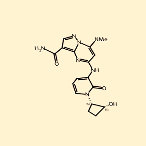 CNc1cc(Nc2cccn([C@H]3CC[C@H]3O)c2=O)nc2c(C(N)=O)cnn12